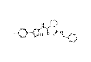 Cc1ccc(-c2cc(NC(=O)C3CCCN3C(=O)OCc3ccccc3)[nH]n2)cc1